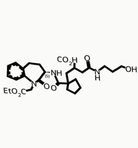 CCOC(=O)CN1C(=O)[C@@H](NC(=O)C2(CC(CC(=O)NCCCO)C(=O)O)CCCC2)CCc2ccccc21